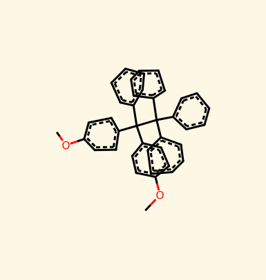 COc1ccc(C(c2ccccc2)(c2ccc(OC)cc2)C(c2ccccc2)(c2ccccc2)c2ccccc2)cc1